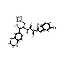 O=C(NC(CN1CCC1)C(O)c1ccc2c(c1)OCCO2)C(=O)c1cc2cc(Cl)ccc2o1